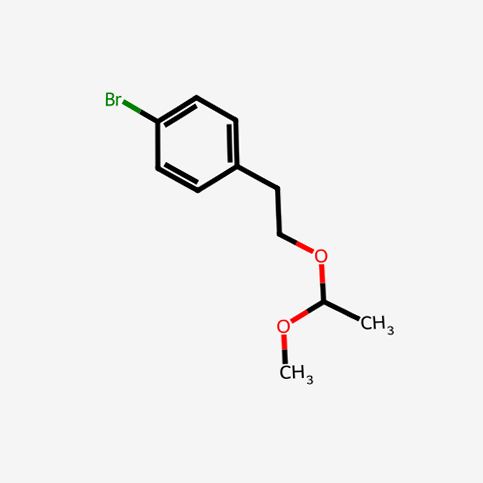 COC(C)OCCc1ccc(Br)cc1